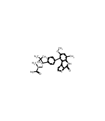 COc1cc(C)c2[nH]c(=O)c3sccc3c2c1-c1ccc([C@H](CN(C)C(=O)O)C(C)(C)C)cc1